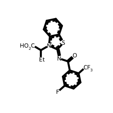 CCC(C(=O)O)n1/c(=N/C(=O)c2cc(F)ccc2C(F)(F)F)sc2ccccc21